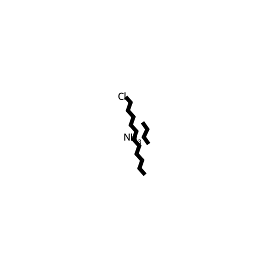 CCCC.CCCCCCCCCCCCl.N